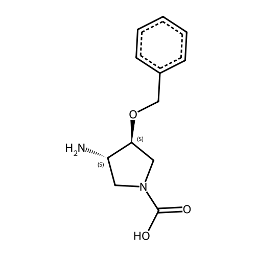 N[C@H]1CN(C(=O)O)C[C@@H]1OCc1ccccc1